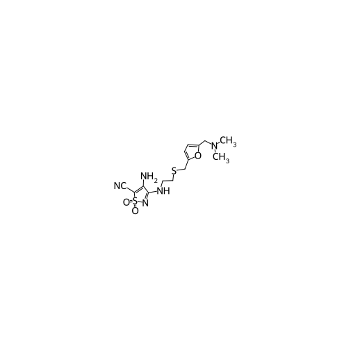 CN(C)Cc1ccc(CSCCNC2=NS(=O)(=O)C(C#N)=C2N)o1